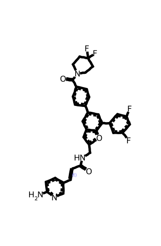 Nc1ccc(/C=C/C(=O)NCc2cc3cc(-c4ccc(C(=O)N5CCC(F)(F)CC5)cc4)cc(-c4cc(F)cc(F)c4)c3o2)cn1